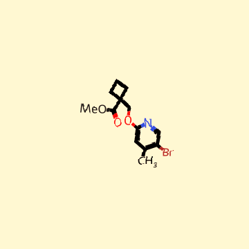 COC(=O)C1(COc2cc(C)c(Br)cn2)CCC1